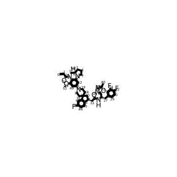 C=CC(=O)N1C[C@@H]2CCCN2c2cc(N3CCC4(CC3)C[C@@H](CC(=O)N[C@H](Cc3ccc(F)c(F)c3)c3nnc(C)o3)c3ccc(F)cc34)cc(OC)c21